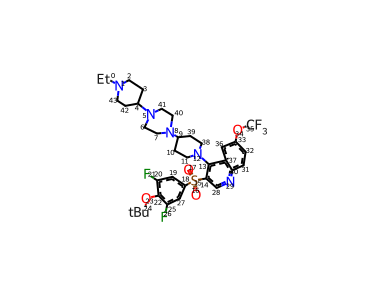 CCN1CCC(N2CCN(C3CCN(c4c(S(=O)(=O)c5cc(F)c(OC(C)(C)C)c(F)c5)cnc5ccc(OC(F)(F)F)cc45)CC3)CC2)CC1